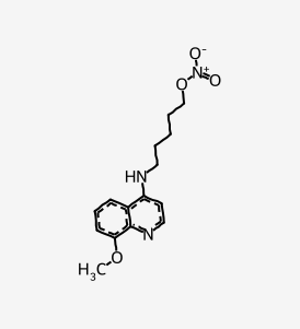 COc1cccc2c(NCCCCCO[N+](=O)[O-])ccnc12